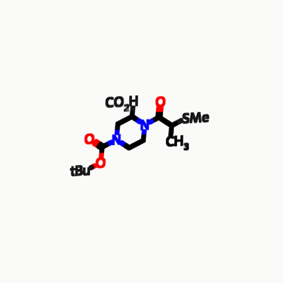 CSC(C)C(=O)N1CCN(C(=O)OC(C)(C)C)CC1C(=O)O